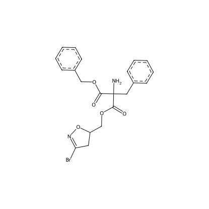 NC(Cc1ccccc1)(C(=O)OCc1ccccc1)C(=O)OCC1CC(Br)=NO1